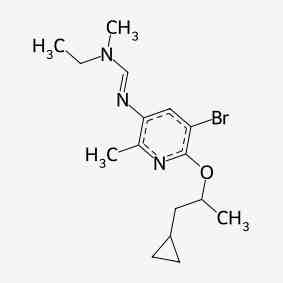 CCN(C)/C=N/c1cc(Br)c(OC(C)CC2CC2)nc1C